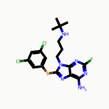 CC(C)(C)NCCCn1c(Sc2cc(Cl)cc(Cl)c2)nc2c(N)nc(F)nc21